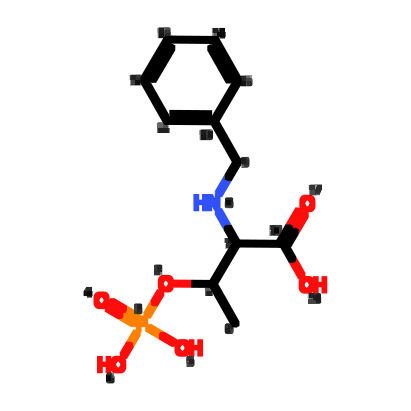 CC(OP(=O)(O)O)C(NCc1ccccc1)C(=O)O